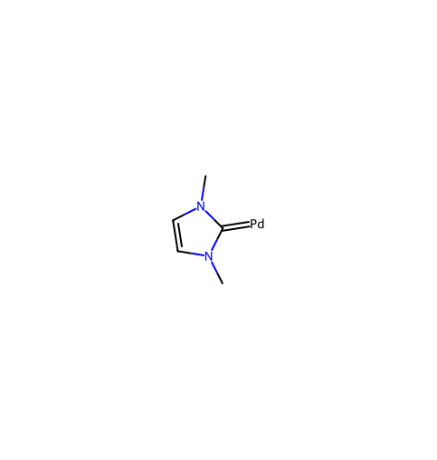 Cn1ccn(C)[c]1=[Pd]